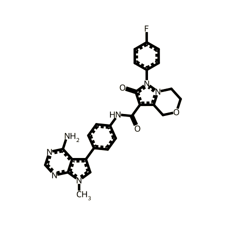 Cn1cc(-c2ccc(NC(=O)c3c4n(n(-c5ccc(F)cc5)c3=O)CCOC4)cc2)c2c(N)ncnc21